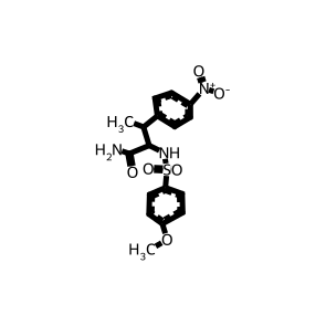 COc1ccc(S(=O)(=O)NC(C(N)=O)C(C)c2ccc([N+](=O)[O-])cc2)cc1